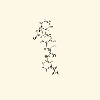 COc1cccc(NC(=O)c2cccc(CC(C(C)=O)C(=O)c3ccccc3)c2)c1